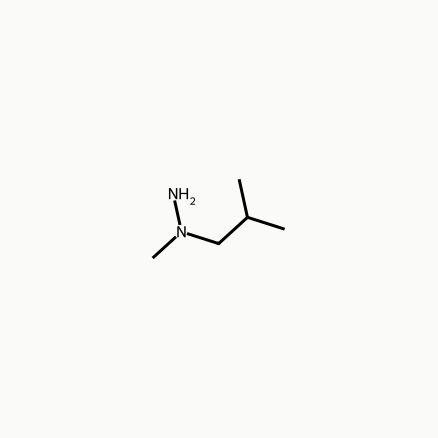 CC(C)CN(C)N